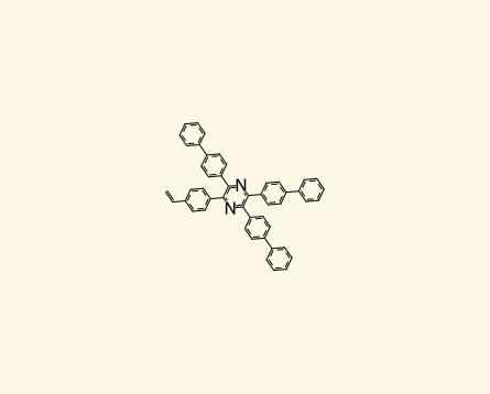 C=Cc1ccc(-c2nc(-c3ccc(-c4ccccc4)cc3)c(-c3ccc(-c4ccccc4)cc3)nc2-c2ccc(-c3ccccc3)cc2)cc1